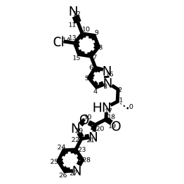 C[C@@H](Cn1ccc(-c2ccc(C#N)c(Cl)c2)n1)NC(=O)c1nc(-c2cccnc2)no1